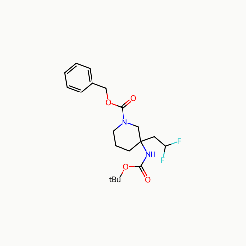 CC(C)(C)OC(=O)NC1(CC(F)F)CCCN(C(=O)OCc2ccccc2)C1